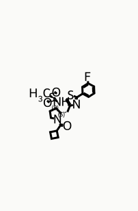 CS(=O)(=O)N[C@H]1CCN(C(=O)C2CCC2)[C@H]1Cc1csc(-c2cccc(F)c2)n1